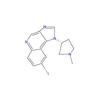 CN1CC[C@@H](n2cnc3cnc4ccc(I)cc4c32)C1